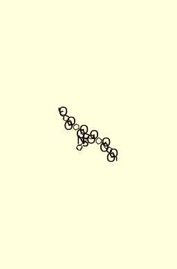 C=CC(=O)Cc1ccc(OC(=O)[C@H]2CC[C@H](C(=O)Oc3ccc(OC(=O)[C@H]4CC[C@H](C(=O)Oc5ccc(OC(=O)C=C)cc5)CC4)c4sc(-c5ccccc5)nc34)CC2)cc1